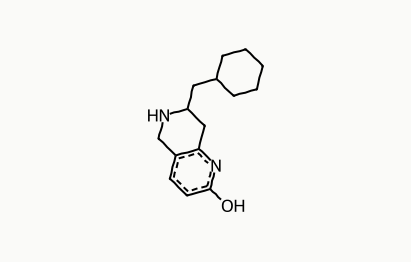 Oc1ccc2c(n1)CC(CC1CCCCC1)NC2